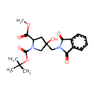 COC(=O)C1CC(O)(CN2C(=O)c3ccccc3C2=O)CN1C(=O)OC(C)(C)C